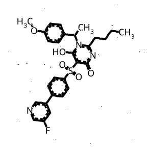 CCCCc1nc(=O)c(S(=O)(=O)c2ccc(-c3cncc(F)c3)cc2)c(O)n1C(C)c1ccc(OC)cc1